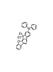 CCC1(CC)c2cc(N(c3ccccc3)c3ccccc3)ccc2-c2ccc3c(oc4ccccc43)c21